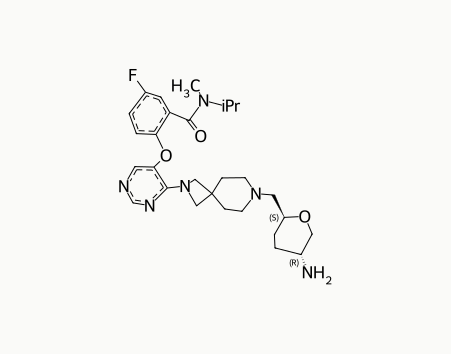 CC(C)N(C)C(=O)c1cc(F)ccc1Oc1cncnc1N1CC2(CCN(C[C@@H]3CC[C@@H](N)CO3)CC2)C1